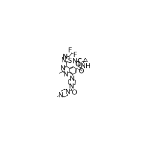 Cc1nc(-c2nnc(C(F)F)s2)c2cc(S(=O)(=O)NC3(C#N)CC3)cc(N3CCN(C(=O)N4CCN(C)CC4)CC3)c2n1